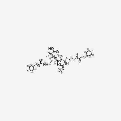 CC(C)(C)OC(=O)N[C@@H](CCCCNC(=O)OCc1ccccc1)C(=O)N[C@@H](CCCCNC(=O)OCc1ccccc1)C(=O)N1CCC[C@H]1C(=O)O